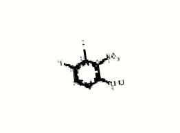 O=Cc1ccc(F)c(F)c1[N+](=O)[O-]